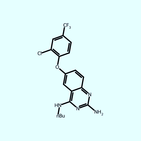 CCCCNc1nc(N)nc2ccc(Oc3ccc(C(F)(F)F)cc3Cl)cc12